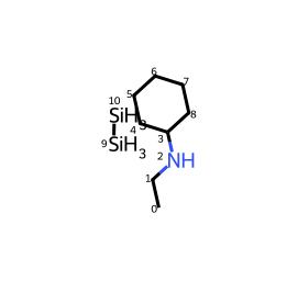 CCNC1CCCCC1.[SiH3][SiH3]